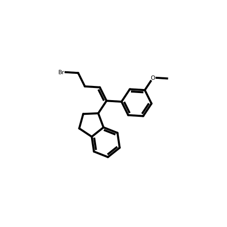 COc1cccc(/C(=C/CCBr)C2CCc3ccccc32)c1